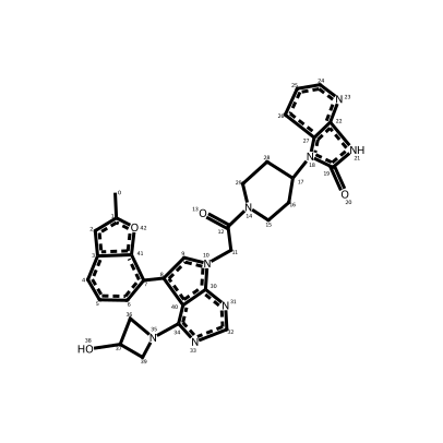 Cc1cc2cccc(-c3cn(CC(=O)N4CCC(n5c(=O)[nH]c6ncccc65)CC4)c4ncnc(N5CC(O)C5)c34)c2o1